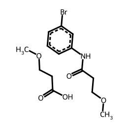 COCCC(=O)Nc1cccc(Br)c1.COCCC(=O)O